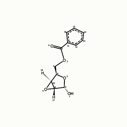 O=C(OC[C@H]1O[C@H](O)[C@@H]2O[C@H]21)c1ccccc1